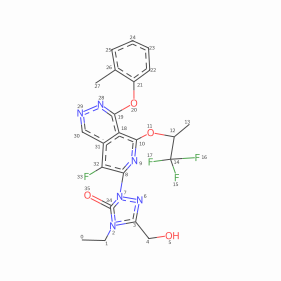 CCn1c(CO)nn(-c2nc(OC(C)C(F)(F)F)c3c(Oc4ccccc4C)nncc3c2F)c1=O